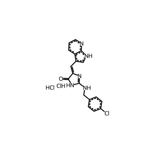 Cl.Cl.O=C1NC(NCc2ccc(Cl)cc2)=NC1=Cc1c[nH]c2ncccc12